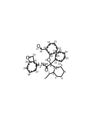 CCC1CCCCN1C(Oc1ccccc1C=O)(C(N)=O)c1ccccc1.c1ccc2c(c1)CO2